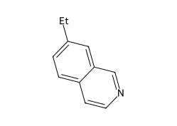 [CH2]Cc1ccc2ccncc2c1